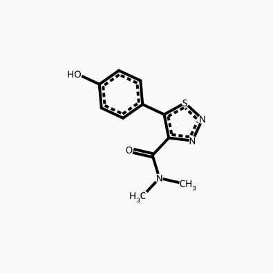 CN(C)C(=O)c1nnsc1-c1ccc(O)cc1